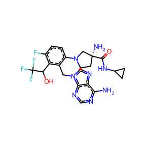 Nc1ncnc2c1ncn2Cc1c(N2CC[C@](N)(C(=O)NC3CC3)C2)ccc(F)c1C(O)C(F)(F)F